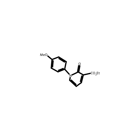 CCOC(=O)c1cccn(-c2ccc(OC)cc2)c1=O